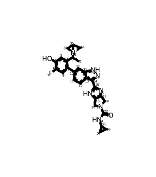 CC(c1cc(O)c(F)cc1-c1ccc2c(-c3nc4c([nH]3)CN(C(=O)NC3CC3)C4)n[nH]c2c1)[N+]12CC1C2